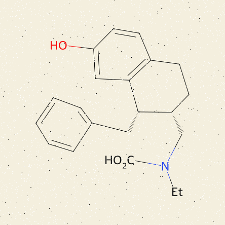 CCN(C[C@H]1CCc2ccc(O)cc2[C@H]1Cc1ccccc1)C(=O)O